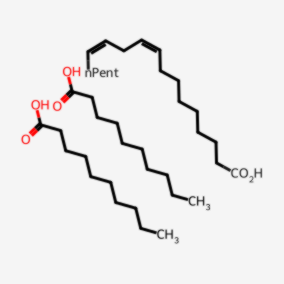 CCCCC/C=C\C/C=C\CCCCCCCC(=O)O.CCCCCCCCCC(=O)O.CCCCCCCCCC(=O)O